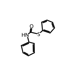 O=C(Nc1ccccc1)Sc1ccccc1